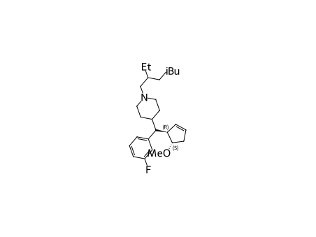 CCC(C)CC(CC)CN1CCC(C(c2cccc(F)c2)[C@H]2C=CC[C@@H]2OC)CC1